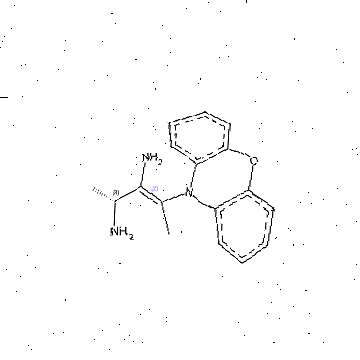 C/C(=C(/N)[C@@H](C)N)N1c2ccccc2Oc2ccccc21